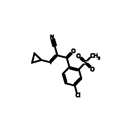 CS(=O)(=O)c1cc(Cl)ccc1C(=O)/C(=[C]/C1CC1)C#N